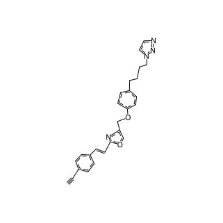 C#Cc1ccc(C=Cc2nc(COc3ccc(CCCCn4ccnn4)cc3)co2)cc1